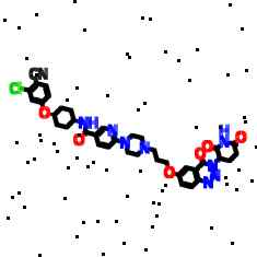 N#Cc1ccc(O[C@H]2CC[C@H](NC(=O)c3ccc(N4CCN(CCCOc5ccc6nnn(C7CCC(=O)NC7=O)c(=O)c6c5)CC4)nc3)CC2)cc1Cl